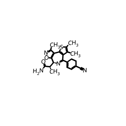 Cc1noc2c1-c1sc(C)c(C)c1C(C1=CC=C(C#N)CC1)=N[C@H]2[C@@H](C)C(N)=O